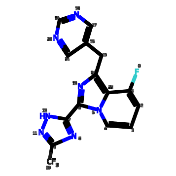 Fc1cccn2c(-c3nc(C(F)(F)F)n[nH]3)nc(Cc3cncnc3)c12